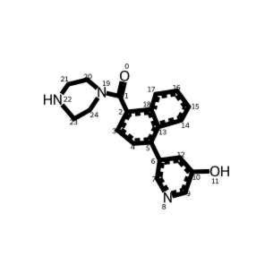 O=C(c1ccc(-c2cncc(O)c2)c2ccccc12)N1CCNCC1